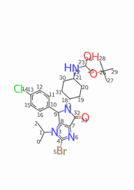 CC(C)n1c(Br)nc2c1C(c1ccc(Cl)cc1)N([C@H]1CC[C@H](NC(O)OC(C)(C)C)CC1)C2=O